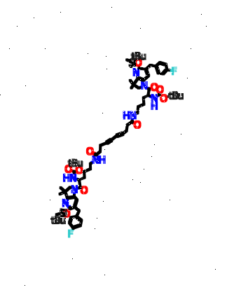 CC(C)(C)OC(=O)N[C@@H](CCCCNC(=O)CCC#CC#CCCC(=O)NCCCC[C@H](NC(=O)OC(C)(C)C)C(=O)N1CC(C)(C)c2nc(O[Si](C)(C)C(C)(C)C)c(Cc3ccc(F)cc3)cc21)C(=O)N1CC(C)(C)c2nc(O[Si](C)(C)C(C)(C)C)c(Cc3ccc(F)cc3)cc21